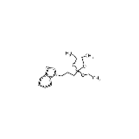 CCO[Si](CCCn1cnc2ccccc21)(OCC)OCC